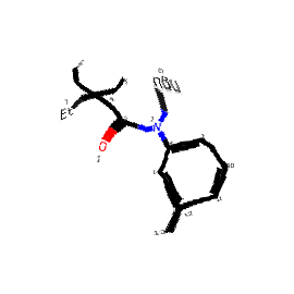 CCCCN(C(=O)C(C)(C)CC)c1cccc(C)c1